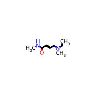 CCN(C)CC=CC(=O)NC